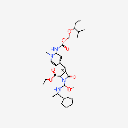 CCOC(=O)C1[C@@H](CC2=CC(NC(=O)OCOC(CC)C(C)C)N(C)C=C2)C(=O)N1C(NC(C)C1CCCCC1)OC